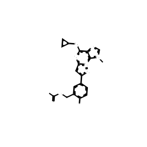 CCC(=O)NCc1cc(-c2cc3nc(NC4CC4)c4ncn(C)c4n3n2)ccc1F